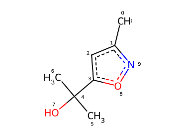 [CH]c1cc(C(C)(C)O)on1